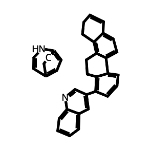 C1=CC2=CC=C(CC2)N1.C1=Cc2ccc3c(c2CC1)CCc1c(-c2cnc4ccccc4c2)cccc1-3